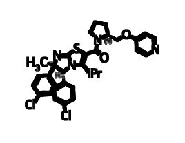 CC(C)C1=C(C(=O)N2CCC[C@H]2COc2ccncc2)SC2=N[C@@](C)(c3ccc(Cl)cc3)[C@@H](c3ccc(Cl)cc3)N21